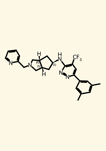 Cc1cc(C)cc(-c2cc(C(F)(F)F)c(N[C@H]3C[C@@H]4CN(Cc5ccccn5)C[C@@H]4C3)nn2)c1